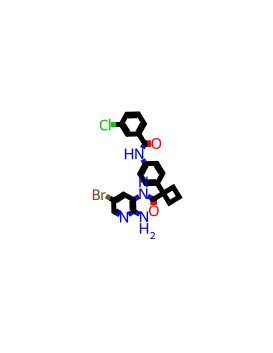 Nc1ncc(Br)cc1NC(=O)C1(c2ccc(NC(=O)c3cccc(Cl)c3)cc2)CCC1